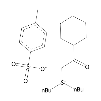 CCCC[S+](CCCC)CC(=O)C1CCCCC1.Cc1ccc(S(=O)(=O)[O-])cc1